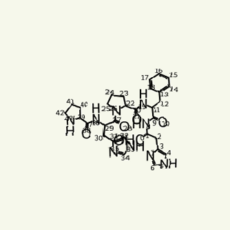 O=[C]C(Cc1c[nH]cn1)NC(=O)C(Cc1ccccc1)NC(=O)C1CCCN1C(=O)C(Cc1c[nH]cn1)NC(=O)C1CCCN1